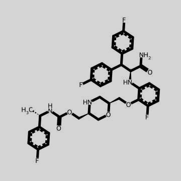 C[C@H](NC(=O)OC[C@@H]1CO[C@H](COc2c(F)cccc2N[C@H](C(N)=O)C(c2ccc(F)cc2)c2ccc(F)cc2)CN1)c1ccc(F)cc1